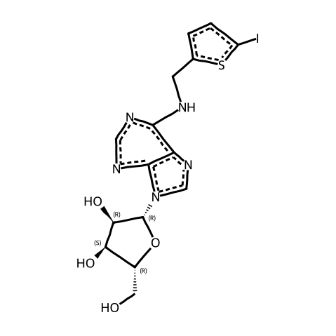 OC[C@H]1O[C@@H](n2cnc3c(NCc4ccc(I)s4)ncnc32)[C@H](O)[C@@H]1O